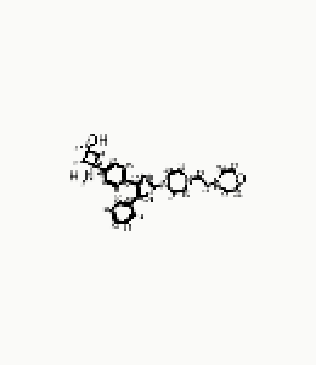 C[C@]1(O)C[C@@](N)(c2ccc(-c3nc(N4CCN(CCN5CCOCC5)CC4)sc3-c3ccccc3)cc2)C1